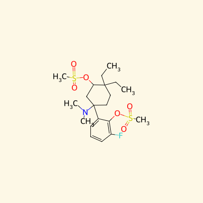 CCC1(CC)CCC(c2cccc(F)c2OS(C)(=O)=O)(N(C)C)CC1OS(C)(=O)=O